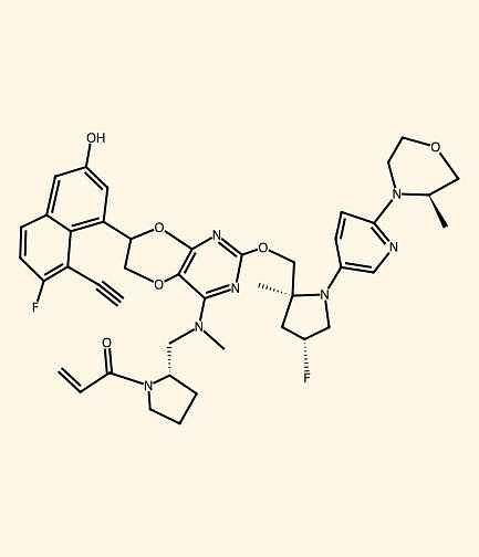 C#Cc1c(F)ccc2cc(O)cc(C3COc4c(nc(OC[C@]5(C)C[C@@H](F)CN5c5ccc(N6CCOC[C@H]6C)nc5)nc4N(C)C[C@@H]4CCCN4C(=O)C=C)O3)c12